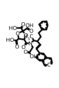 CC(C(C=Cc1ccc2ccccc2c1)CCc1ccccc1)N(CC(=O)O)C(=O)C1OC(C(=O)O)(C(=O)O)OC1C(=O)O